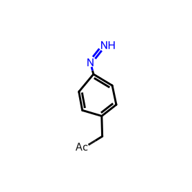 CC(=O)Cc1ccc(N=N)cc1